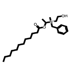 CCCCCCCCCCCC(=O)OC(C)[N+](C)(CCO)Cc1ccccc1